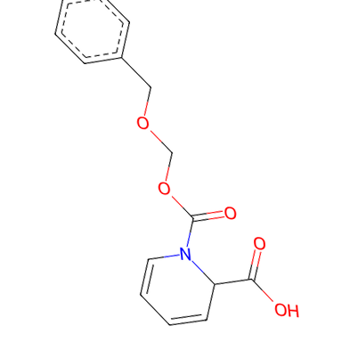 O=C(O)C1C=CC=CN1C(=O)OCOCc1ccccc1